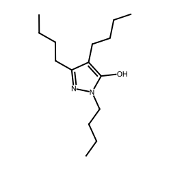 CCCCc1nn(CCCC)c(O)c1CCCC